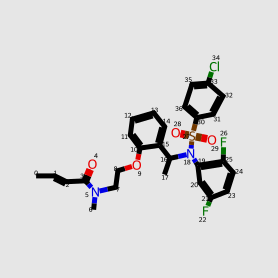 C/C=C/C(=O)N(C)CCOc1ccccc1C(C)N(c1cc(F)ccc1F)S(=O)(=O)c1ccc(Cl)cc1